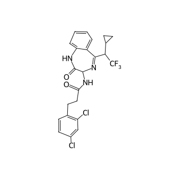 O=C(CCc1ccc(Cl)cc1Cl)NC1N=C(C(C2CC2)C(F)(F)F)c2ccccc2NC1=O